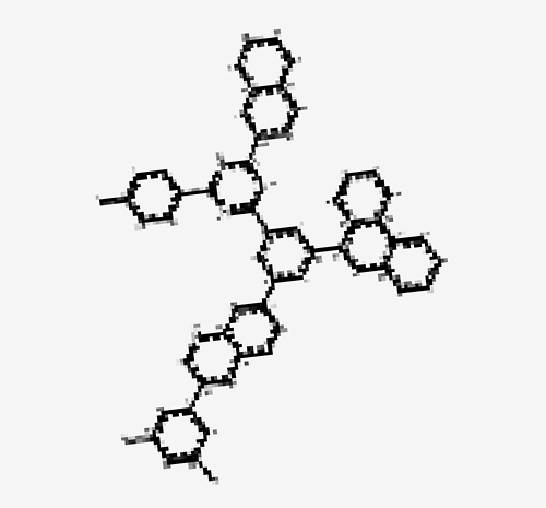 Cc1ccc(-c2nc(-c3cc(-c4ccc5cc(-c6cc(C)cc(C)c6)cnc5c4)cc(-c4cc5ccccc5c5ccccc45)c3)nc(-c3ccc4ccccc4c3)n2)cc1